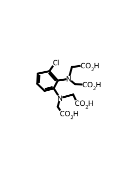 O=C(O)CN(CC(=O)O)c1cccc(Cl)c1N(CC(=O)O)CC(=O)O